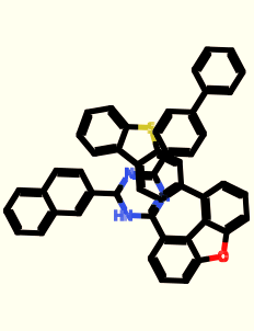 c1ccc(-c2ccc(C3=NC(c4ccc5ccccc5c4)NC(c4cccc5oc6cccc(-c7ccc8c(c7)sc7ccccc78)c6c45)=N3)cc2)cc1